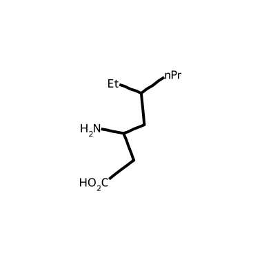 CCCC(CC)CC(N)CC(=O)O